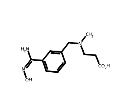 CN(CCC(=O)O)Cc1cccc(/C(N)=N\O)c1